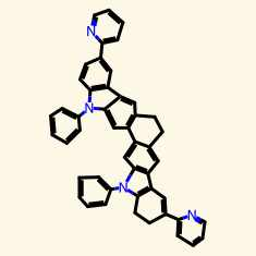 C1=C(c2ccccn2)CCc2c1c1cc3c(cc1n2-c1ccccc1)-c1cc2c(cc1CC3)c1cc(-c3ccccn3)ccc1n2-c1ccccc1